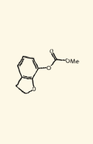 COC(=O)Oc1cccc2c1OCC2